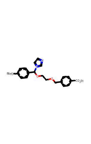 CCOC(=O)c1ccc(COCCOC(c2ccc(OC)cc2)n2ccnc2)cc1